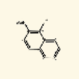 CNc1ccc2ccccc2c1I